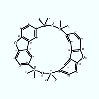 C[Si]1(C)O[Si](C)(C)c2ccc3oc4ccc(cc4c3c2)[Si](C)(C)O[Si](C)(C)c2ccc3oc4ccc1cc4c3c2